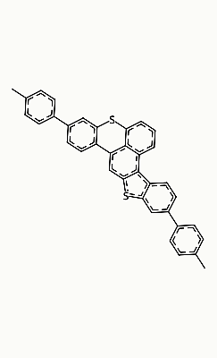 Cc1ccc(-c2ccc3c(c2)Sc2cccc4c2c-3cc2sc3cc(-c5ccc(C)cc5)ccc3c24)cc1